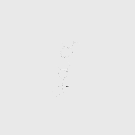 CCNc1nc(Nc2cc([C@]3(C)CCCO3)nn2C)ncc1C(F)(F)F